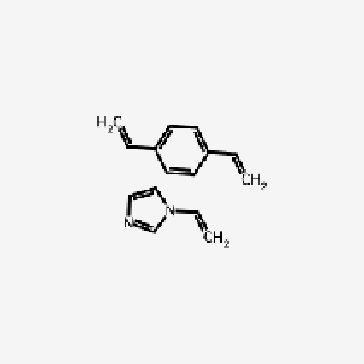 C=Cc1ccc(C=C)cc1.C=Cn1ccnc1